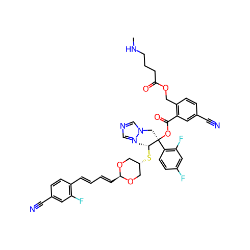 CNCCCC(=O)OCc1ccc(C#N)cc1C(=O)O[C@@](Cn1cncn1)(c1ccc(F)cc1F)[C@@H](C)S[C@H]1CO[C@H](C=CC=Cc2ccc(C#N)cc2F)OC1